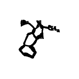 Cc1nc2c(c(C(C)(C)C)n1)Cc1ccccc1-2